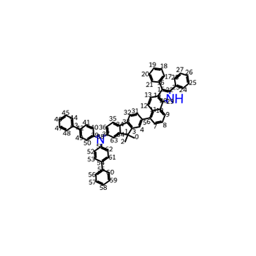 CC1(C)c2cc(-c3cccc4c3ccc3c(-c5ccccc5)c(-c5ccccc5)[nH]c34)ccc2-c2ccc(N(c3ccc(-c4ccccc4)cc3)c3ccc(-c4ccccc4)cc3)cc21